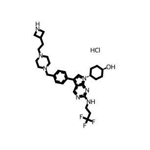 Cl.O[C@H]1CC[C@H](n2cc(-c3ccc(CN4CCN(CCC5CNC5)CC4)cc3)c3cnc(NCCC(F)(F)F)nc32)CC1